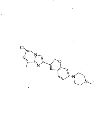 Cc1nc(Cl)cn2cc(C3=Cc4ccc(N5CCN(C)CC5)cc4OC3)nc12